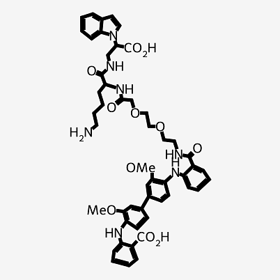 COc1cc(-c2ccc(Nc3ccccc3C(=O)NCCOCCOCC(=O)NC(CCCCN)C(=O)NCC(C(=O)O)n3ccc4ccccc43)c(OC)c2)ccc1Nc1ccccc1C(=O)O